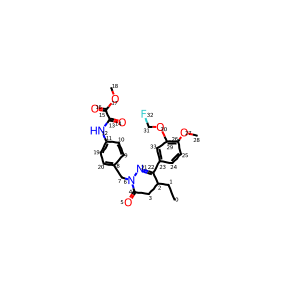 CCC1CC(=O)N(Cc2ccc(NC(=O)C(=O)OC)cc2)N=C1c1ccc(OC)c(OCF)c1